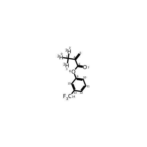 [2H]C([2H])([2H])C(=C)C(=O)Oc1cccc(C(F)(F)F)c1